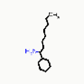 CCCCCCCC(N)C1CCCCC1